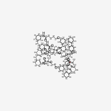 CC(C)OCCOc1ccc(C2(c3ccc(OCCCCC(=O)Nc4cccc(Cc5cccc(NC(=O)OCC(C)(COC(=O)NC6=CCCC(CC7=CCCC(NC(=O)C(C)(C)OCCOc8ccc(C9(c%10ccc(OCCO)cc%10)C%10=C(CCC=C%10)c%10ccccc%109)cc8)=C7)=C6)C(=O)CCCC(O)COC(=O)C(C)C)c5)c4)cc3)c3ccccc3-c3ccccc32)cc1